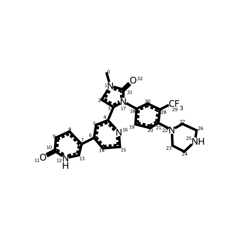 Cn1cc(-c2cc(-c3ccc(=O)[nH]c3)ccn2)n(-c2ccc(N3CCNCC3)c(C(F)(F)F)c2)c1=O